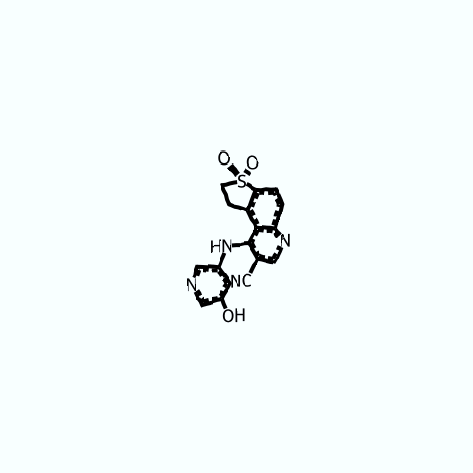 N#Cc1cnc2ccc3c(c2c1Nc1cncc(O)c1)CCS3(=O)=O